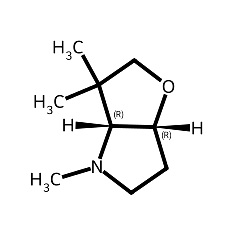 CN1CC[C@H]2OCC(C)(C)[C@H]21